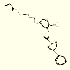 C=CC(=O)OCCCCOc1ccc(C#N)c(OC(=O)c2ccc(-c3ccccc3)cc2)c1